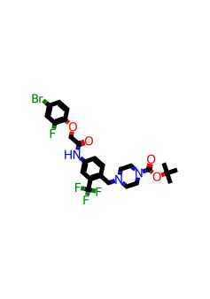 CC(C)(C)OC(=O)N1CCN(Cc2ccc(NC(=O)COc3ccc(Br)cc3F)cc2C(F)(F)F)CC1